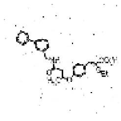 CCO[C@@H](Cc1ccc(OC(C)CC(=O)NCc2cccc(-c3ccccc3)c2)cc1)C(=O)O